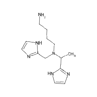 CC(c1ncc[nH]1)N(CCCCN)Cc1ncc[nH]1